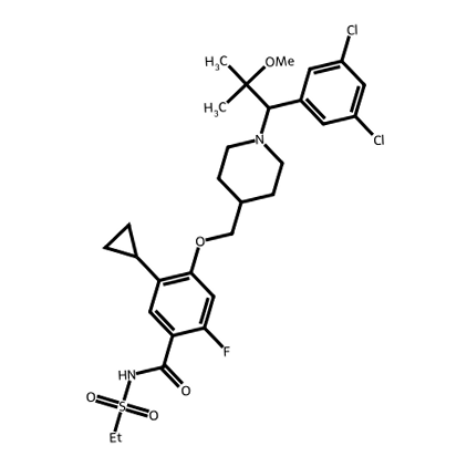 CCS(=O)(=O)NC(=O)c1cc(C2CC2)c(OCC2CCN(C(c3cc(Cl)cc(Cl)c3)C(C)(C)OC)CC2)cc1F